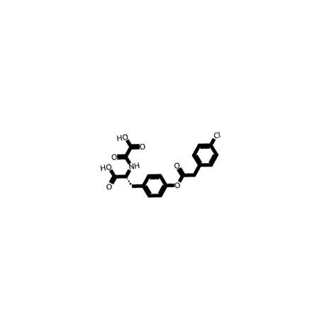 O=C(Cc1ccc(Cl)cc1)Oc1ccc(C[C@@H](NC(=O)C(=O)O)C(=O)O)cc1